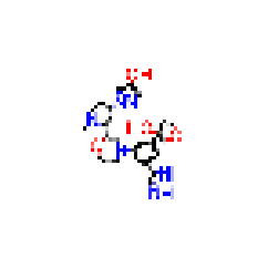 CN1CCC(n2cc(O)cn2)CC1C1CN(c2cc(C(=N)C=N)cc(C3(O)CCOC3)c2)CCCO1